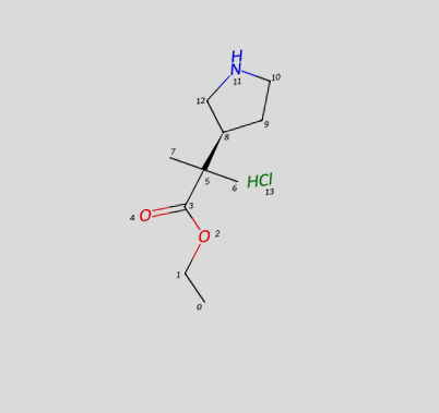 CCOC(=O)C(C)(C)[C@@H]1CCNC1.Cl